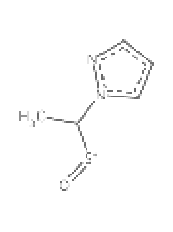 CC([S+]=O)n1cccn1